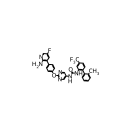 Cc1ccccc1-c1ccc(C(F)(F)F)cc1NC(=O)Nc1cnc(Oc2ccc(-c3cc(F)cnc3N)cc2)nc1